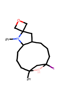 CC(C)N1C2CCCC3(C(C)C)BC(I)(CCCC2CC12COC2)C3